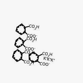 O=C(O)c1ccccc1C(=O)O.O=C([O-])c1ccccc1C(=O)O.O=C([O-])c1ccccc1C(=O)O.O=C([O-])c1ccccc1C(=O)O.[K+].[K+].[K+]